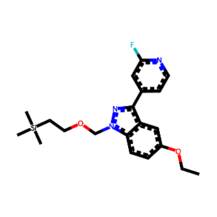 CCOc1ccc2c(c1)c(-c1ccnc(F)c1)nn2COCC[Si](C)(C)C